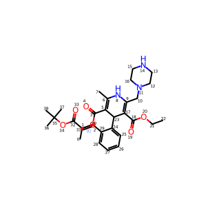 CCOC(=O)C1=C(C)NC(CN2CCNCC2)=C(C(=O)OCC)C1c1ccccc1/C=C/C(=O)OC(C)(C)C